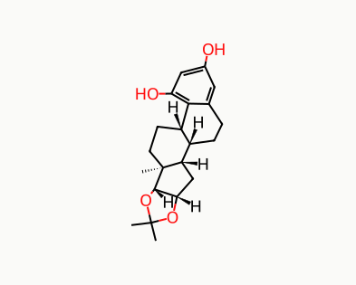 CC1(C)O[C@H]2C[C@H]3[C@H]4CCc5cc(O)cc(O)c5[C@H]4CC[C@]3(C)[C@H]2O1